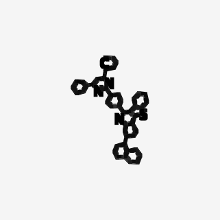 c1ccc(-c2cc(-c3ccccc3)nc(-c3ccc(-c4nc5cc(-c6cccc7ccccc67)ccc5c5sc6ccccc6c45)cc3)n2)cc1